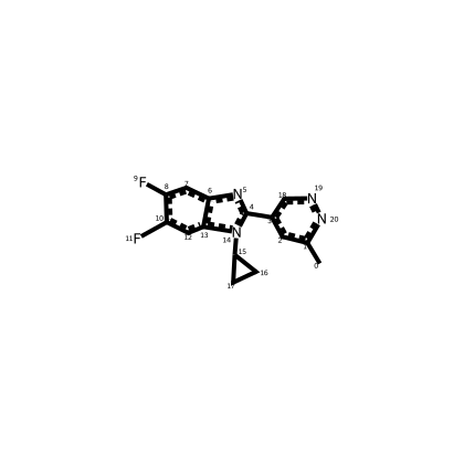 Cc1cc(-c2nc3cc(F)c(F)cc3n2C2CC2)cnn1